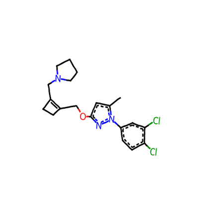 Cc1cc(OCC2=C(CN3CCCC3)CC2)nn1-c1ccc(Cl)c(Cl)c1